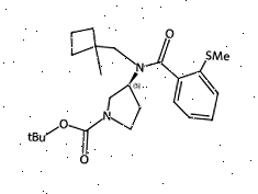 CSc1ccccc1C(=O)N(CC1(C)CCC1)[C@H]1CCN(C(=O)OC(C)(C)C)C1